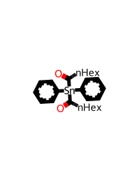 CCCCCC[C](=O)[Sn]([C](=O)CCCCCC)([c]1ccccc1)[c]1ccccc1